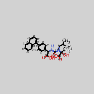 CC(C)CN(C(=O)NC(C(=O)O)c1ccc(-c2cccc3ccccc23)cc1)C(C)(O)C(=O)O